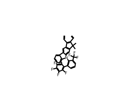 C=CC1=C(C=C)C(C)(C)c2cc3c(cc21)c1ccccc1n3-c1c(-c2c(F)c(F)c(F)c(F)c2F)cccc1C(F)(F)F